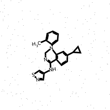 Cc1ccccc1N1CN=C(Nc2cnsc2)c2ccc(C3CC3)cc21